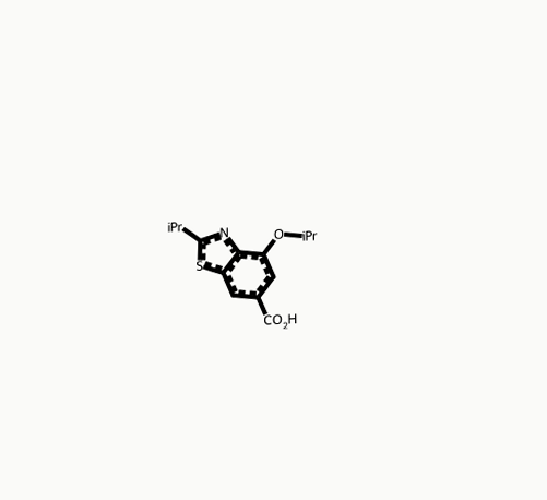 CC(C)Oc1cc(C(=O)O)cc2sc(C(C)C)nc12